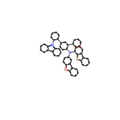 c1ccc(-c2cc(-c3ccccc3-n3c4ccccc4c4ccccc43)ccc2N(c2ccc3oc4ccccc4c3c2)c2cccc3c2sc2ccccc23)cc1